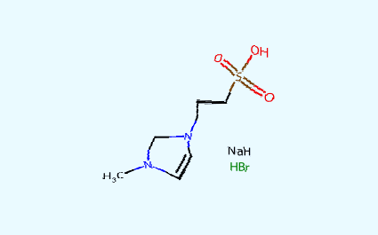 Br.CN1C=CN(CCS(=O)(=O)O)C1.[NaH]